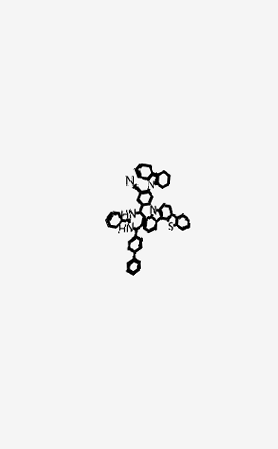 N#CC1=C(n2c3c(c4c2CCCC4)CCC=C3)C=C(N2C3=C(C4C=CC=CC42)C2SC4=C(CCC=C4)C2CC3)C(C2C=CC(C3=CCC(c4ccccc4)C=C3)NC(C3CC=CCC3)N2)C1